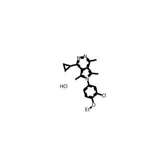 CCOc1ccc(-n2c(C)c3c(C)nnc(C4CC4)c3c2C)cc1Cl.Cl